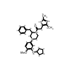 COc1ccc(N2CCN(C(=O)Cc3sc(C)nc3C)C(Cc3ccccc3)C2)cc1OC1CCCC1